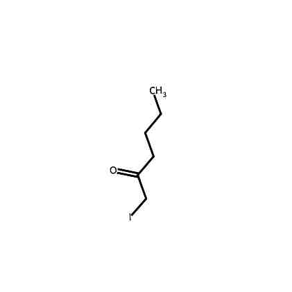 CCCCC(=O)CI